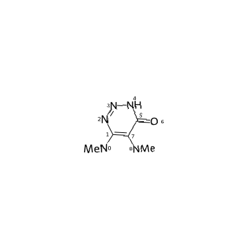 CNc1nn[nH]c(=O)c1NC